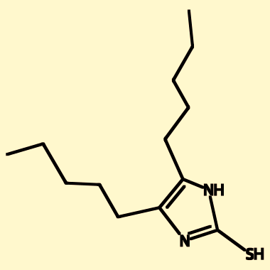 CCCCCc1nc(S)[nH]c1CCCCC